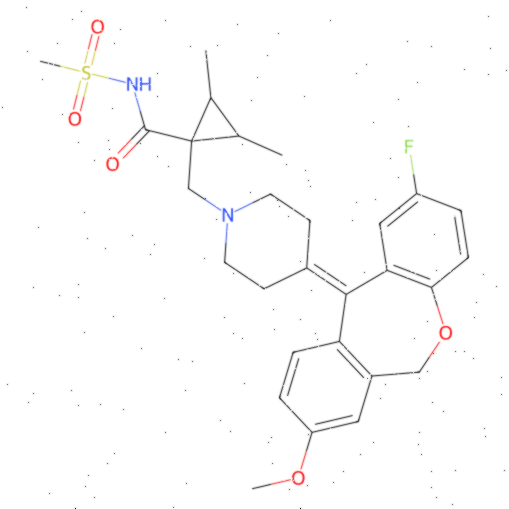 COc1ccc2c(c1)COc1ccc(F)cc1C2=C1CCN(CC2(C(=O)NS(C)(=O)=O)C(C)C2C)CC1